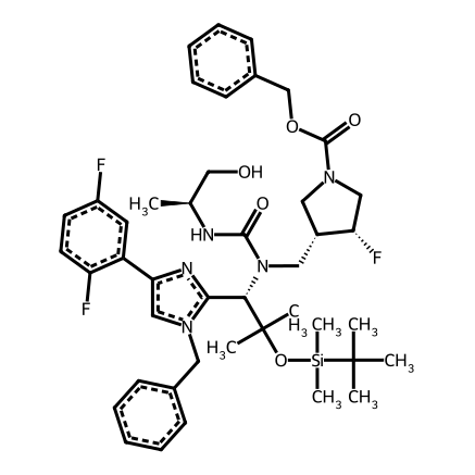 C[C@@H](CO)NC(=O)N(C[C@@H]1CN(C(=O)OCc2ccccc2)C[C@@H]1F)[C@@H](c1nc(-c2cc(F)ccc2F)cn1Cc1ccccc1)C(C)(C)O[Si](C)(C)C(C)(C)C